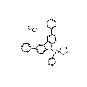 C1=CC[C]([Ti+2](=[C]2CCCC2)[CH]2c3ccc(-c4ccccc4)cc3-c3cc(-c4ccccc4)ccc32)=C1.[Cl-].[Cl-]